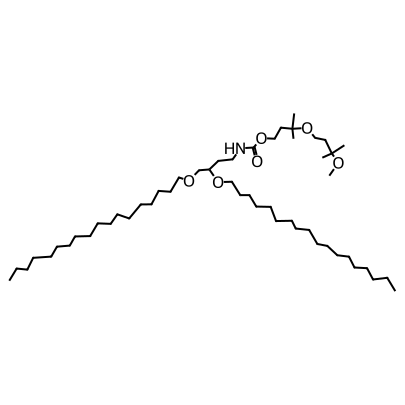 CCCCCCCCCCCCCCCCCCOCC(CCNC(=O)OCCC(C)(C)OCCC(C)(C)OC)OCCCCCCCCCCCCCCCCCC